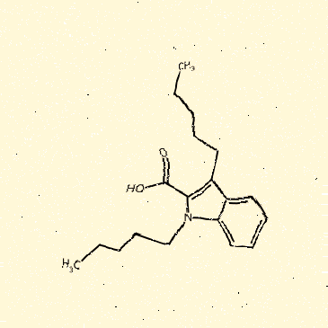 CCCCCc1c(C(=O)O)n(CCCCC)c2ccccc12